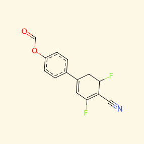 N#CC1=C(F)C=C(c2ccc(OC=O)cc2)CC1F